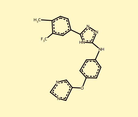 Cc1ccc(-c2nnc(Nc3ccc(Oc4cncnc4)cc3)[nH]2)cc1C(F)(F)F